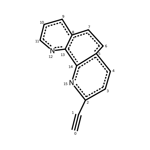 C#Cc1ccc2ccc3cccnc3c2n1